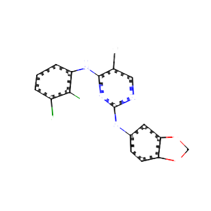 FC(F)(F)c1cnc(Nc2ccc3c(c2)OCO3)nc1Nc1cccc(Cl)c1Cl